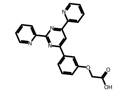 O=C(O)COc1cccc(-c2cc(-c3ccccn3)nc(-c3ccccn3)n2)c1